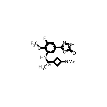 CNC1CC([C@H](C)Nc2cc(-c3n[nH]c(=O)o3)cc(F)c2OC(F)(F)F)C1